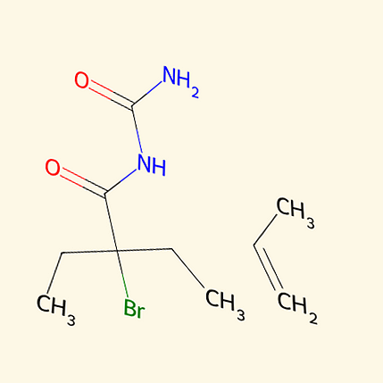 C=CC.CCC(Br)(CC)C(=O)NC(N)=O